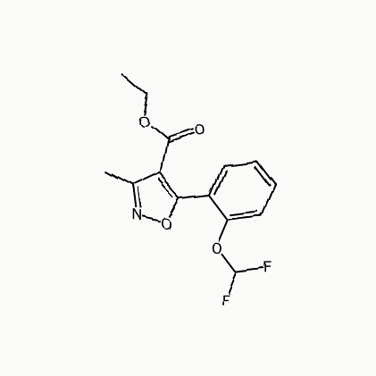 CCOC(=O)c1c(C)noc1-c1ccccc1OC(F)F